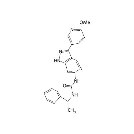 COc1ccc(-c2n[nH]c3cc(NC(=O)N[C@H](C)c4ccccc4)ncc23)cn1